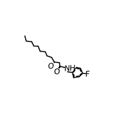 CCCCCCCCCC(=O)CC(=O)NCc1ccc(F)cc1